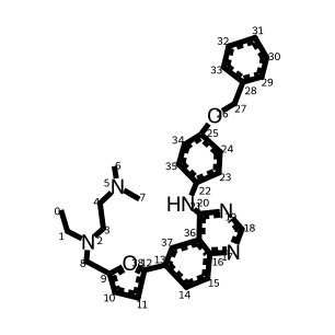 CCN(CCN(C)C)Cc1ccc(-c2ccc3ncnc(Nc4ccc(OCc5ccccc5)cc4)c3c2)o1